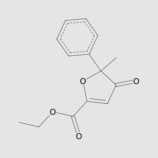 CCOC(=O)C1=CC(=O)C(C)(c2ccccc2)O1